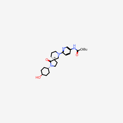 CC(C)COC(=O)Nc1ccc(N2CCC[C@@]3(CCN([C@H]4CC[C@H](O)CC4)C3=O)C2)nc1